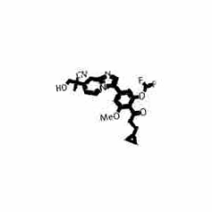 COc1cc(-c2cnc3cc(C(C)(C#N)CO)ccn23)cc(OC(F)F)c1C(=O)CCC1CC1